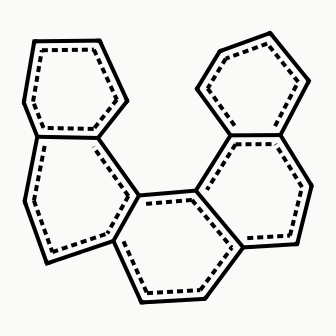 c1ccc2c(c1)ccc1ccc3ccc4ccccc4c3c12